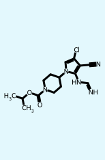 CC(C)OC(=O)N1CCC(n2cc(Cl)c(C#N)c2NC=N)CC1